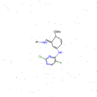 COC1C=CC(Nc2nc(Cl)ncc2F)=CC1=CNC(C)C